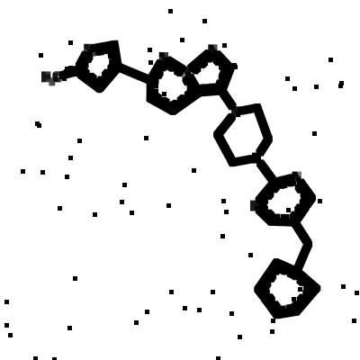 Cn1cc(-c2ccc3c(N4CCN(c5ncc(Cc6ccccc6)cn5)CC4)cnn3n2)cn1